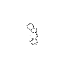 c1cc2sc3cc4cncnc4cc3c2cn1